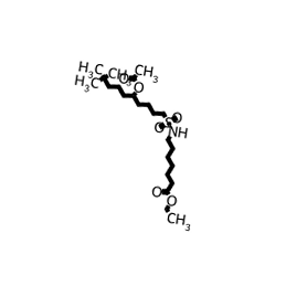 CCOC(=O)CCCCCCNS(=O)(=O)CCCCC(CCCC(C)(C)C)OC(C)=O